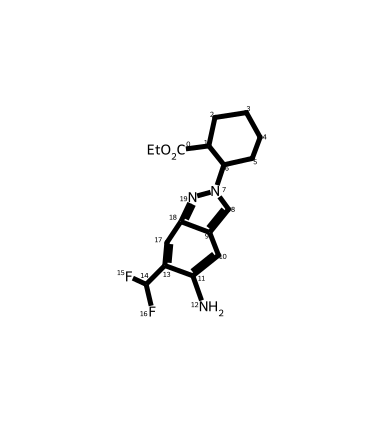 CCOC(=O)C1CCCCC1n1cc2cc(N)c(C(F)F)cc2n1